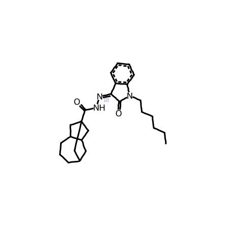 CCCCCCN1C(=O)/C(=N\NC(=O)C23CC4CCCC(C2)C(C4)C3)c2ccccc21